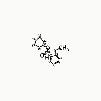 CCc1ccccc1[PH](=O)OC1CCCCC1